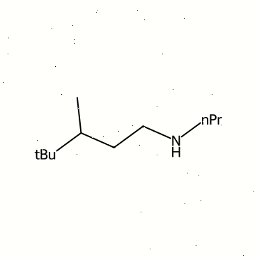 CCCNCCC(C)C(C)(C)C